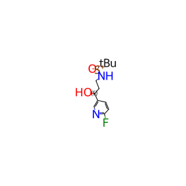 CC(C)(C)[S+]([O-])NCC[C@H](O)c1ccc(F)nc1